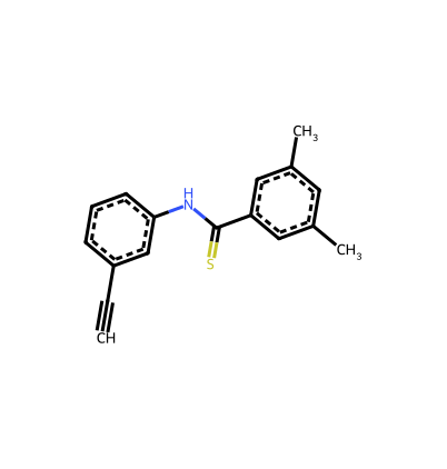 C#Cc1cccc(NC(=S)c2cc(C)cc(C)c2)c1